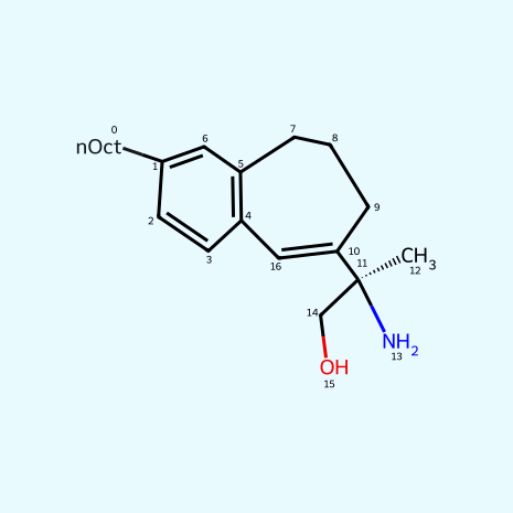 CCCCCCCCc1ccc2c(c1)CCCC([C@@](C)(N)CO)=C2